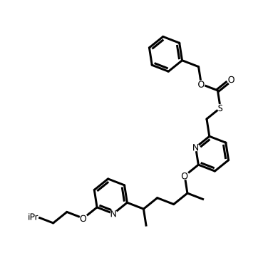 CC(C)CCOc1cccc(C(C)CCC(C)Oc2cccc(CSC(=O)OCc3ccccc3)n2)n1